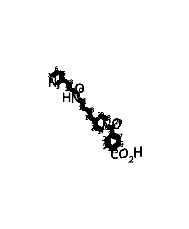 O=C(C=Cc1cccnc1)NCCCCC1CCN(C(=O)c2ccc(C(=O)O)cc2)CC1